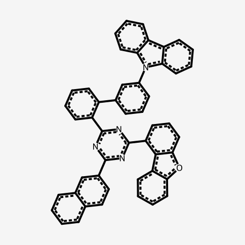 c1cc(-c2ccccc2-c2nc(-c3ccc4ccccc4c3)nc(-c3cccc4oc5ccccc5c34)n2)cc(-n2c3ccccc3c3ccccc32)c1